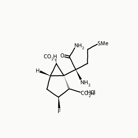 CSCC[C@@](N)(C(N)=O)[C@@]12C(C(=O)O)[C@@H](F)C[C@@H]1[C@@H]2C(=O)O.Cl